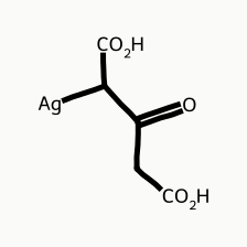 O=C(O)CC(=O)[CH]([Ag])C(=O)O